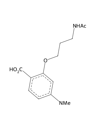 CNc1ccc(C(=O)O)c(OCCCNC(C)=O)c1